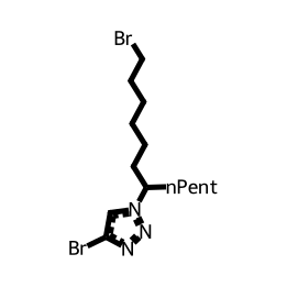 CCCCCC(CCCCCCBr)n1cc(Br)nn1